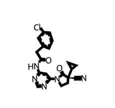 N#C[C@@]1(C2CC2)CCN(c2cc(NC(=O)Cc3cccc(Cl)c3)ncn2)C1=O